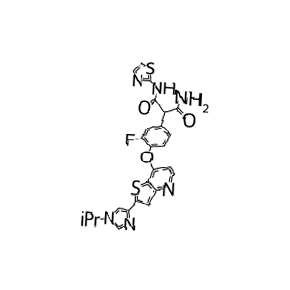 CC(C)n1cnc(-c2cc3nccc(Oc4ccc(C(C(N)=O)C(=O)Nc5nccs5)cc4F)c3s2)c1